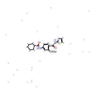 COc1cc(NC(=O)C2CCCCC2)ccc1C(=O)Nc1nccs1